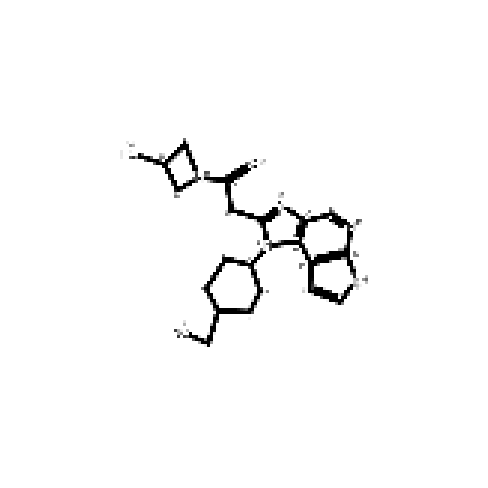 N#CCC1CCC(n2c(CC(=O)N3CC(O)C3)nc3cnc4[nH]ccc4c32)CC1